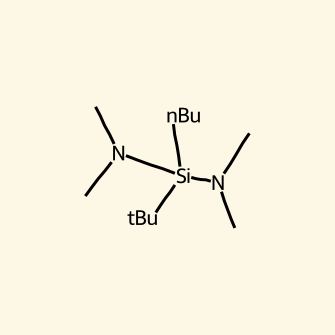 CCCC[Si](N(C)C)(N(C)C)C(C)(C)C